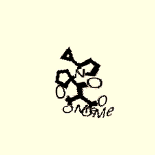 COC(=O)C(C(=O)OC)C(=O)C1(n2cccc2C2CC2)CCCC1